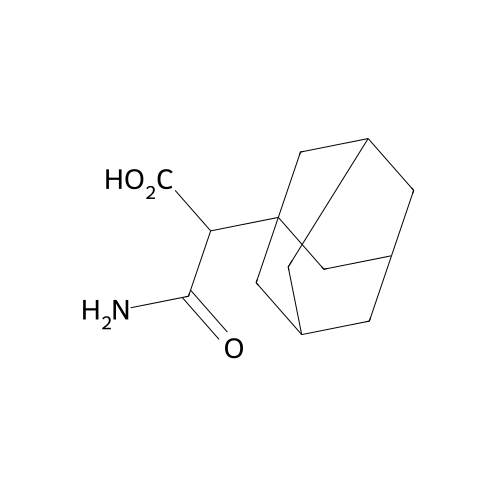 NC(=O)C(C(=O)O)C12CC3CC(CC(C3)C1)C2